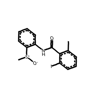 Cc1cccc(I)c1C(=O)Nc1ccccc1[S+](C)[O-]